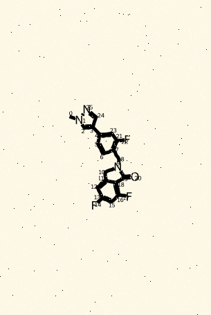 Cn1cc(-c2ccc(CN3Cc4cc(F)cc(F)c4C3=O)c(F)c2)cn1